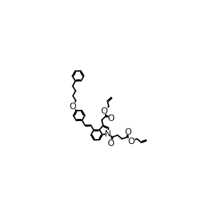 C=CCOC(=O)CCC(=O)n1cc(CC(=O)OCC=C)c2c(/C=C/c3ccc(OCCCCc4ccccc4)cc3)cccc21